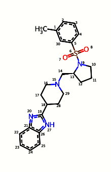 Cc1cccc(S(=O)(=O)N2CCC[C@H]2CN2CCC(c3nc4ccccc4[nH]3)CC2)c1